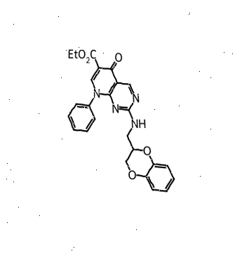 CCOC(=O)c1cn(-c2ccccc2)c2nc(NCC3COc4ccccc4O3)ncc2c1=O